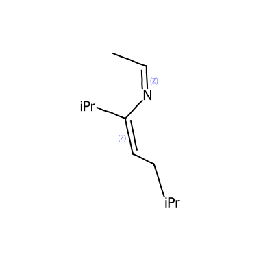 C/C=N\C(=C/CC(C)C)C(C)C